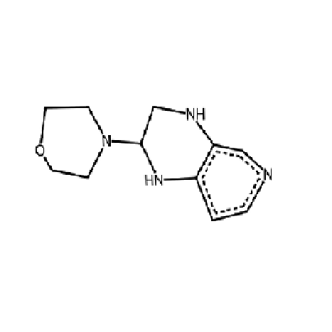 c1cc2c(cn1)NCC(N1CCOCC1)N2